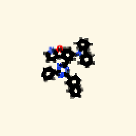 c1ccc(-c2nc(-c3ccc4ccccc4c3)nc(-c3cc(-n4c5ccccc5c5ccccc54)cc4oc5ncccc5c34)n2)cc1